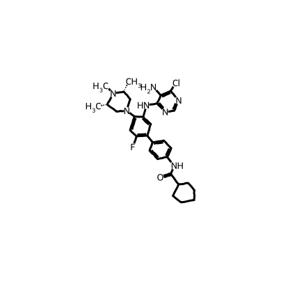 C[C@@H]1CN(c2cc(F)c(-c3ccc(NC(=O)C4CCCCC4)cc3)cc2Nc2ncnc(Cl)c2N)C[C@H](C)N1C